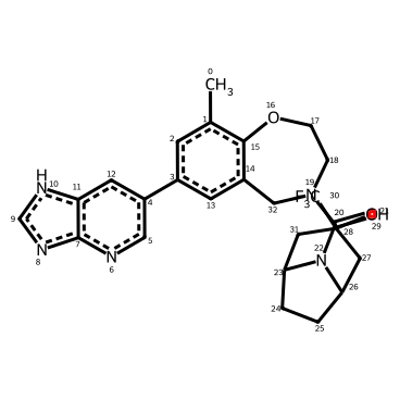 Cc1cc(-c2cnc3nc[nH]c3c2)cc2c1OCCN(C(=O)N1C3CCC1CC(O)(C(F)(F)F)C3)C2